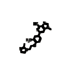 Cc1nccn1CCOc1ccc(-c2cc3c(ncn3C)c(C#N)n2)cc1C(F)(F)F